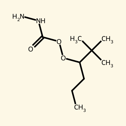 CCCC(OOC(=O)NN)C(C)(C)C